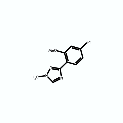 COc1cc(C(C)C)ccc1-c1ncn(C)n1